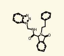 O=C(NCn1nnc2ccccc21)C1c2ccccc2C(=O)N1CCc1ccccc1